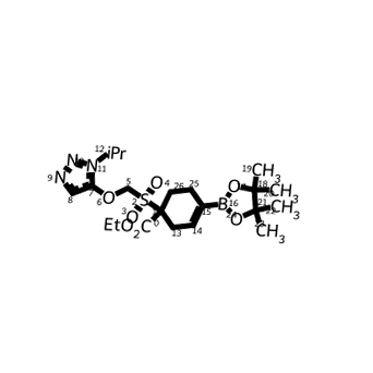 CCOC(=O)C1(S(=O)(=O)COc2cnnn2C(C)C)CC=C(B2OC(C)(C)C(C)(C)O2)CC1